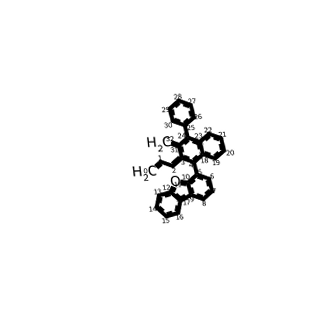 C=C/C=c1/c(-c2cccc3c2oc2ccccc23)c2ccccc2c(-c2ccccc2)c1=C